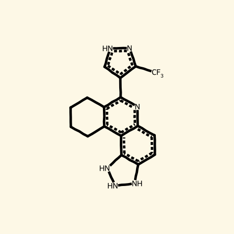 FC(F)(F)c1n[nH]cc1-c1nc2ccc3c(c2c2c1CCCC2)NNN3